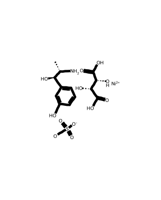 C[C@H](N)[C@H](O)c1cccc(O)c1.O=C(O)[C@H](O)[C@@H](O)C(=O)O.O=S(=O)([O-])[O-].[Ni+2]